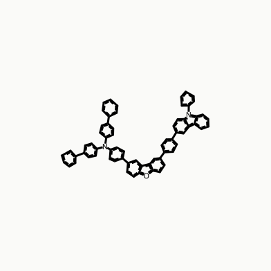 c1ccc(-c2ccc(N(c3ccc(-c4ccccc4)cc3)c3ccc(-c4ccc5oc6ccc(-c7ccc(-c8ccc9c(c8)c8ccccc8n9-c8ccccc8)cc7)cc6c5c4)cc3)cc2)cc1